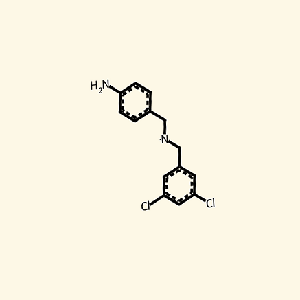 Nc1ccc(C[N]Cc2cc(Cl)cc(Cl)c2)cc1